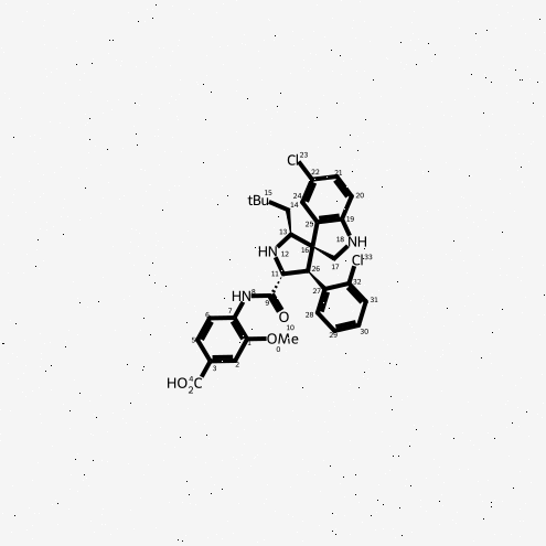 COc1cc(C(=O)O)ccc1NC(=O)[C@@H]1N[C@@H](CC(C)(C)C)[C@@]2(CNc3ccc(Cl)cc32)[C@H]1c1ccccc1Cl